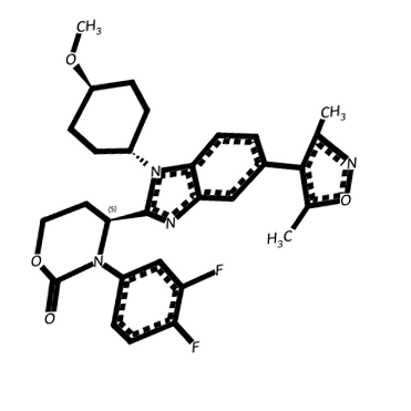 CO[C@H]1CC[C@H](n2c([C@@H]3CCOC(=O)N3c3ccc(F)c(F)c3)nc3cc(-c4c(C)noc4C)ccc32)CC1